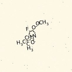 COCOc1cnc(C([O])C(C)(C)C)cc1F